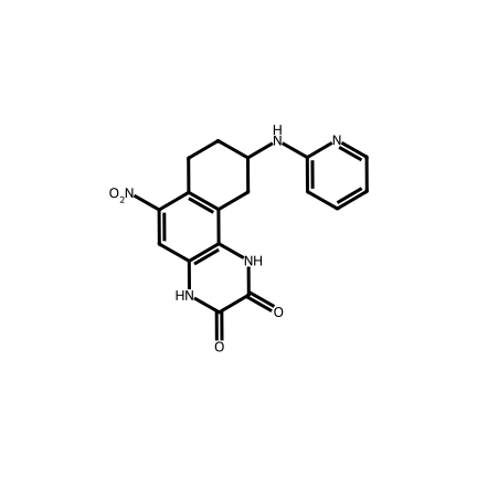 O=c1[nH]c2cc([N+](=O)[O-])c3c(c2[nH]c1=O)CC(Nc1ccccn1)CC3